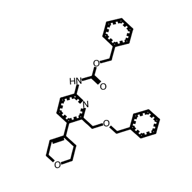 O=C(Nc1ccc(C2=CCOCC2)c(COCc2ccccc2)n1)OCc1ccccc1